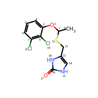 CC(Oc1cccc(Cl)c1Cl)SCc1c[nH]c(=O)[nH]1